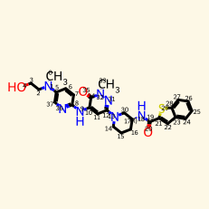 CN(CCO)c1ccc(Nc2cc(N3CCC[C@@H](NC(=O)c4cc5ccccc5s4)C3)nn(C)c2=O)nc1